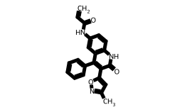 C=CC(=O)Nc1ccc2[nH]c(=O)c(-c3cc(C)no3)c(-c3ccccc3)c2c1